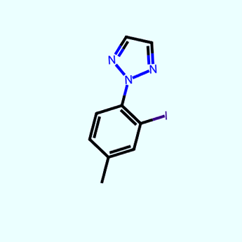 Cc1ccc(-n2nccn2)c(I)c1